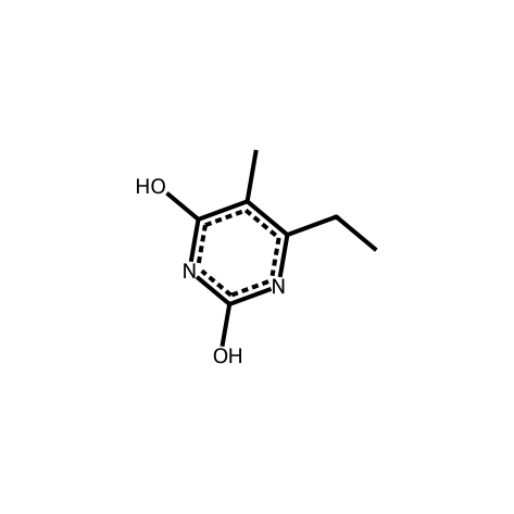 CCc1nc(O)nc(O)c1C